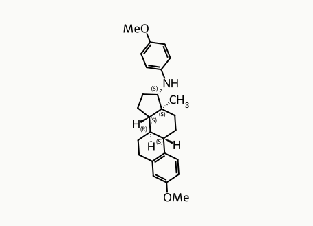 COc1ccc(N[C@H]2CC[C@H]3[C@@H]4CCc5cc(OC)ccc5[C@H]4CC[C@]23C)cc1